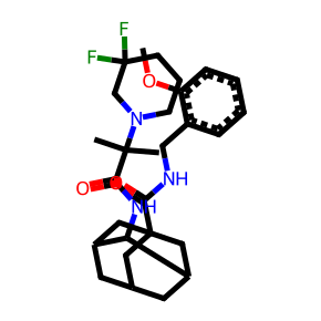 COc1ccccc1CNC(=O)C12CC3CC(C1)C(NC(=O)C(C)(C)N1CCCC(F)(F)C1)C(C3)C2